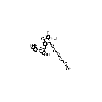 Cl.O=C(N[C@@H]1CNC[C@H]1NC(=O)c1ccc2cn[nH]c2c1)c1ccc(C(=O)c2c(OCCOCCOCCOCCOCCOCCO)ccc(F)c2F)cc1